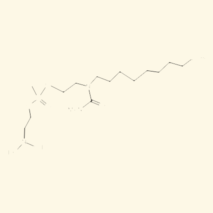 CCCCCCCCCCCCCCCCCCN(CCOP(=O)(O)OCCN(C)C)C(=O)NC